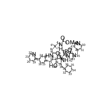 COC(=O)NCC(C)(C)CC(=O)NC(Cc1ccc(-c2ccccn2)cc1)CC(O)C(Cc1ccccc1)NC(=O)C(N1CCN(Cc2ccncc2)C1=O)C(C)(C)C